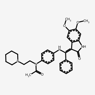 COc1cc2c(cc1OC)C(=C(Nc1ccc(N(CCN3CCCCC3)C(C)=O)cc1)c1ccccc1)C(=O)N2